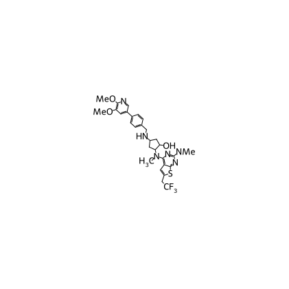 CNc1nc(N(C)C2CC(NCc3ccc(-c4cnc(OC)c(OC)c4)cc3)CC2O)c2cc(CC(F)(F)F)sc2n1